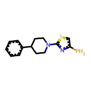 Pc1csc(N2CCC(c3ccccc3)CC2)n1